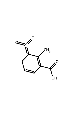 CC1=C(C(=O)O)C=CCC1=S(=O)=O